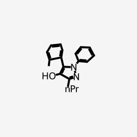 CCCc1nn(-c2ccccc2)c(-c2ccccc2C)c1O